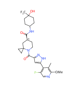 COc1ncc(F)c(-c2cc(C(=O)N3CC[C@H](C(=O)NC4CCC(O)(C(F)(F)F)CC4)CC34CC4)n[nH]2)c1C